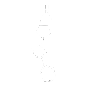 c1ccc(-c2csc(N3CC4CNCC4C3)n2)cc1